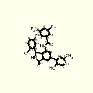 Cc1ncc(C#N)c(-c2cc(NC(=O)c3cc(F)cc(C(F)(F)F)c3)c3c(c2)C(=O)NC3c2cc(F)ccc2Cl)n1